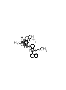 CCCCn1c(C2=CCCc3ccccc32)nc2c1=CCCC=2Nc1cc(C(C)(C)C)cc(C(C)(C)C)c1